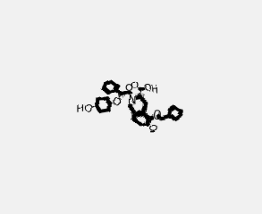 COc1ccc2c(c1OCc1ccccc1)C[C@@H](C(=O)O)N(C(=O)[C@H](O[C@H]1CC[C@@H](O)CC1)c1ccccc1)C2